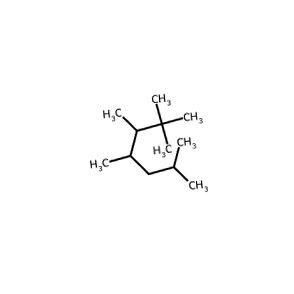 CC(C)CC(C)C(C)C(C)(C)C